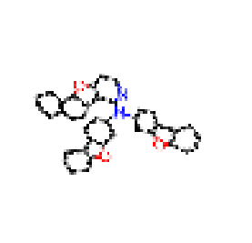 c1ccc2c(c1)ccc1c2oc2ccnc(N(c3ccc4c(c3)oc3ccccc34)c3ccc4c(c3)oc3ccccc34)c21